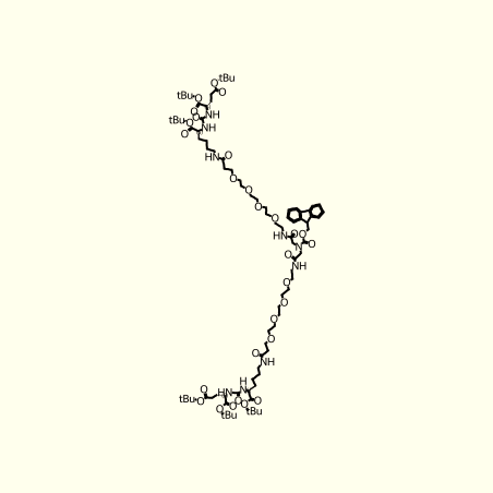 CC(C)(C)OC(=O)CC[C@H](NC(=O)N[C@@H](CCCCNC(=O)CCOCCOCCOCCOCCNC(=O)CN(CC(=O)NCCOCCOCCOCCOCCC(=O)NCCCC[C@H](NC(=O)N[C@@H](CCC(=O)OC(C)(C)C)C(=O)OC(C)(C)C)C(=O)OC(C)(C)C)C(=O)OCC1c2ccccc2-c2ccccc21)C(=O)OC(C)(C)C)C(=O)OC(C)(C)C